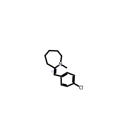 CN1CCCCC/C1=C/c1ccc(Cl)cc1